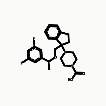 C[C@H](OCC1(N2CCN(C(=O)O)CC2)CCc2ccccc21)c1cc(F)cc(F)c1